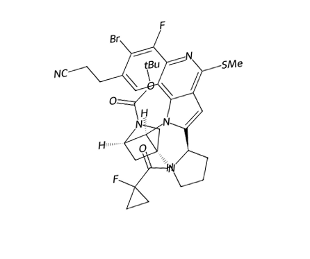 CSc1nc2c(F)c(Br)c(CCC#N)cc2c2c1cc([C@H]1CCCN1C(=O)C1(F)CC1)n2[C@H]1[C@@H]2C[C@H]1N(C(=O)OC(C)(C)C)C2